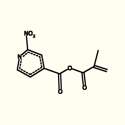 C=C(C)C(=O)OC(=O)c1ccnc([N+](=O)[O-])c1